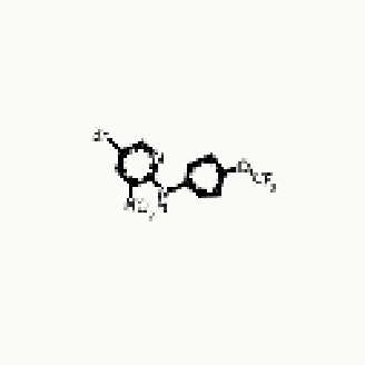 O=[N+]([O-])c1cc(Br)cnc1Nc1ccc(OC(F)(F)F)cc1